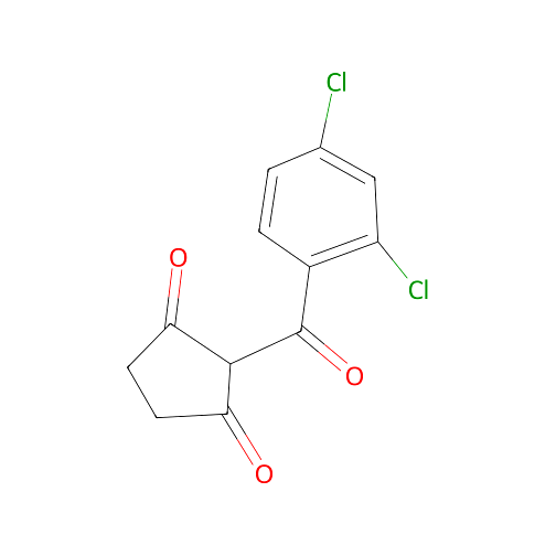 O=C1CCC(=O)C1C(=O)c1ccc(Cl)cc1Cl